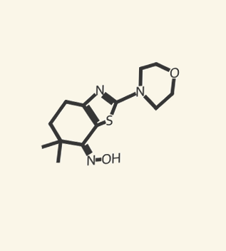 CC1(C)CCc2nc(N3CCOCC3)sc2/C1=N\O